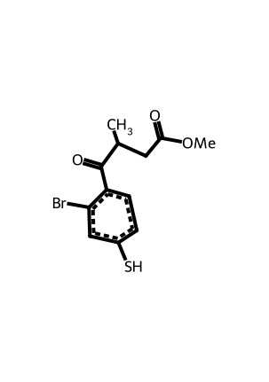 COC(=O)CC(C)C(=O)c1ccc(S)cc1Br